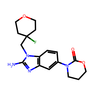 Nc1nc2cc(N3CCCOC3=O)ccc2n1CC1(F)CCOCC1